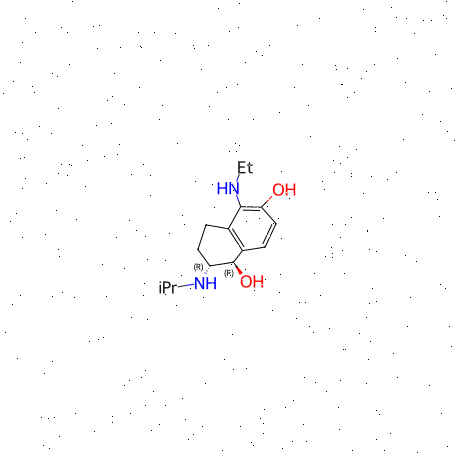 CCNc1c(O)ccc2c1CC[C@@H](NC(C)C)[C@@H]2O